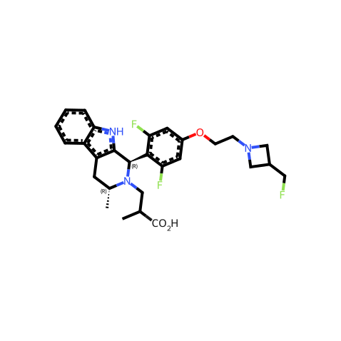 CC(CN1[C@H](c2c(F)cc(OCCN3CC(CF)C3)cc2F)c2[nH]c3ccccc3c2C[C@H]1C)C(=O)O